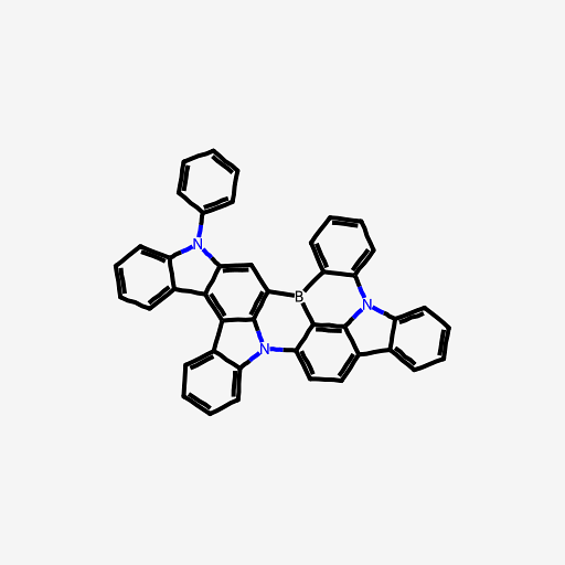 c1ccc(-n2c3ccccc3c3c4c5ccccc5n5c4c(cc32)B2c3ccccc3-n3c4ccccc4c4ccc-5c2c43)cc1